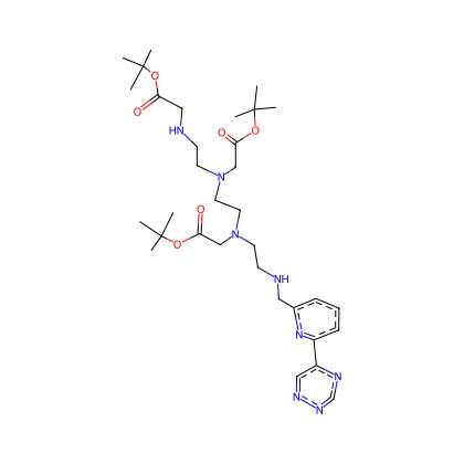 CC(C)(C)OC(=O)CNCCN(CCN(CCNCc1cccc(-c2cnncn2)n1)CC(=O)OC(C)(C)C)CC(=O)OC(C)(C)C